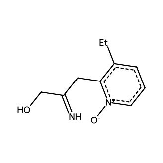 CCc1ccc[n+]([O-])c1CC(=N)CO